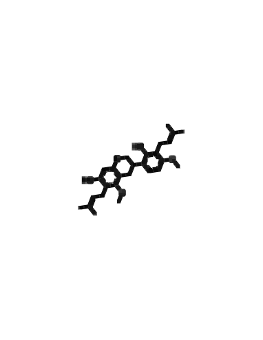 COc1ccc(C2COc3cc(O)c(CC=C(C)C)c(OC)c3C2)c(O)c1CC=C(C)C